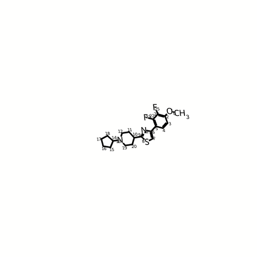 COc1ccc(-c2csc(C3CCN(C4CCCC4)CC3)n2)c(F)c1F